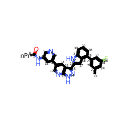 CCCC(=O)Nc1cncc(-c2cnc3[nH]nc(-c4cc5c(-c6cc(C)cc(F)c6)cccc5[nH]4)c3c2)c1